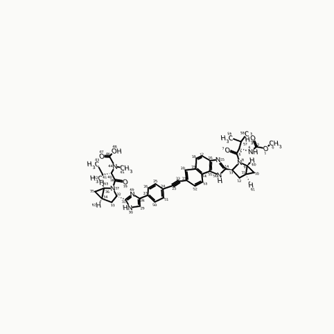 COC(=O)N[C@H](C(=O)N1[C@@H]2C[C@H]2C[C@H]1c1nc2ccc3cc(C#Cc4ccc(-c5c[nH]c([C@@H]6C[C@H]7C[C@H]7N6C(=O)[C@H](C(C)C)N(C)C(=O)O)n5)cc4)ccc3c2[nH]1)C(C)C